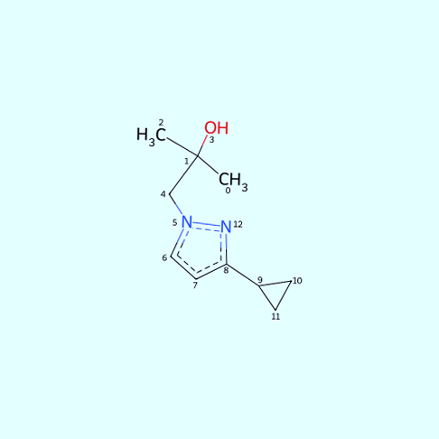 CC(C)(O)Cn1ccc(C2CC2)n1